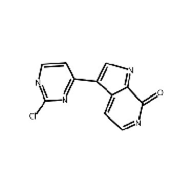 O=C1N=CC=C2C(c3ccnc(Cl)n3)=CN=C12